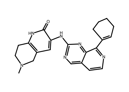 CN1CCc2[nH]c(=O)c(Nc3ncc4ccnc(C5=CCCCC5)c4n3)cc2C1